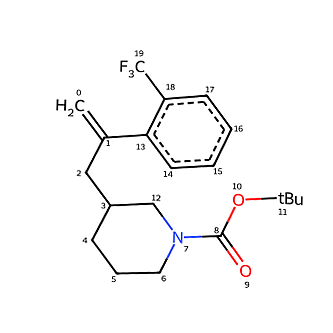 C=C(CC1CCCN(C(=O)OC(C)(C)C)C1)c1ccccc1C(F)(F)F